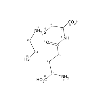 NC(CCC(=O)NC(CS)C(=O)O)C(=O)O.NCCS